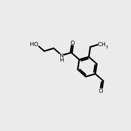 CCc1cc(C=O)ccc1C(=O)NCCO